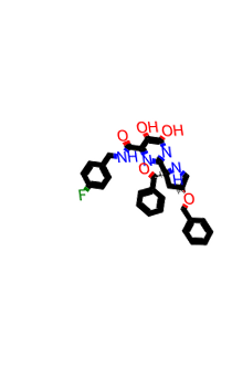 O=C(NCc1ccc(F)cc1)c1nc([C@]2(C(=O)c3ccccc3)C[C@@H](OCc3ccccc3)CN2)nc(O)c1O